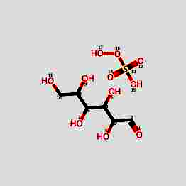 O=CC(O)C(O)C(O)C(O)CO.O=S(=O)(O)OO